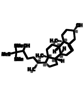 CSC(SC)(SC)C(O)CC[C@@H](C)[C@H]1CC[C@H]2[C@@H]3CC=C4C[C@@H](O)CC[C@]4(C)[C@H]3CC[C@]12C